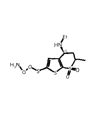 CCN[C@H]1CC(C)S(=O)(=O)c2sc(SOON)cc21